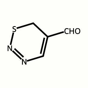 O=CC1=CN=NSC1